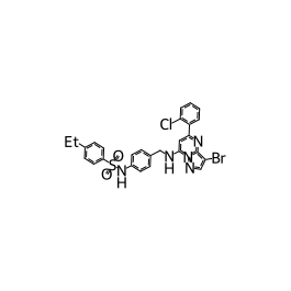 CCc1ccc(S(=O)(=O)Nc2ccc(CNc3cc(-c4ccccc4Cl)nc4c(Br)cnn34)cc2)cc1